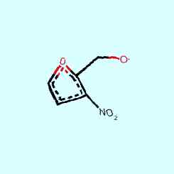 [O]Cc1occc1[N+](=O)[O-]